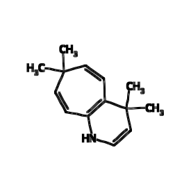 CC1(C)C=CC2=C(C=C1)C(C)(C)C=CN2